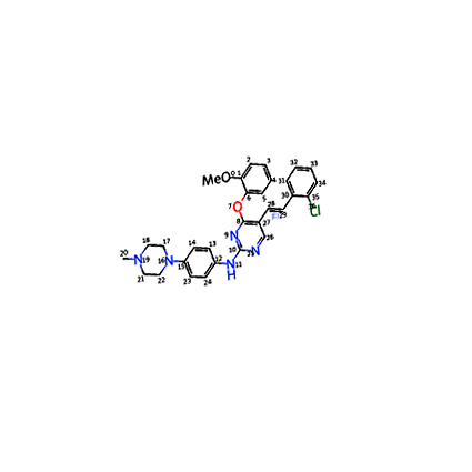 COc1ccccc1Oc1nc(Nc2ccc(N3CCN(C)CC3)cc2)ncc1/C=C/c1ccccc1Cl